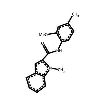 COc1cc(C)ccc1NC(=O)c1cc2ccccc2n1C